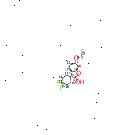 O=C(O)C1(c2ccc(OCF)cc2)CCC(F)(F)CC1